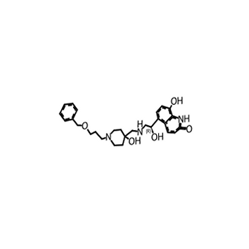 O=c1ccc2c([C@@H](O)CNCC3(O)CCN(CCCOCc4ccccc4)CC3)ccc(O)c2[nH]1